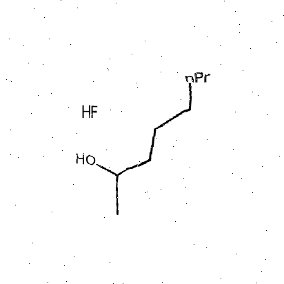 CCCCCCC(C)O.F